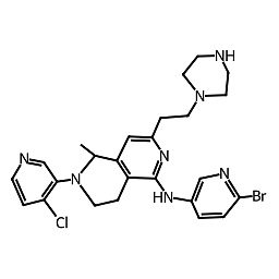 CC1c2cc(CCN3CCNCC3)nc(Nc3ccc(Br)nc3)c2CCN1c1cnccc1Cl